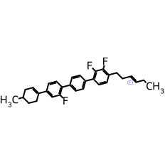 CC/C=C/CCc1ccc(-c2ccc(-c3ccc(C4=CCC(C)CC4)cc3F)cc2)c(F)c1F